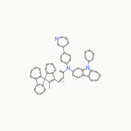 C=C(/C=C\C1=C(C)C2(c3ccccc31)c1ccccc1-c1ccccc12)N(c1ccc(-c2cccnc2)cc1)c1ccc2c3ccccc3n(-c3ccccc3)c2c1